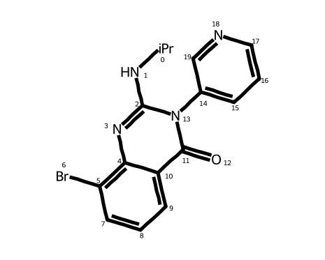 CC(C)Nc1nc2c(Br)cccc2c(=O)n1-c1cccnc1